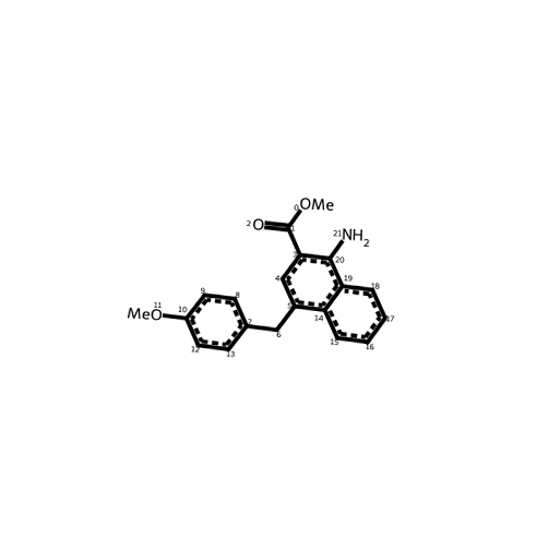 COC(=O)c1cc(Cc2ccc(OC)cc2)c2ccccc2c1N